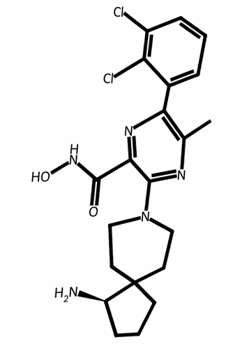 Cc1nc(N2CCC3(CCC[C@H]3N)CC2)c(C(=O)NO)nc1-c1cccc(Cl)c1Cl